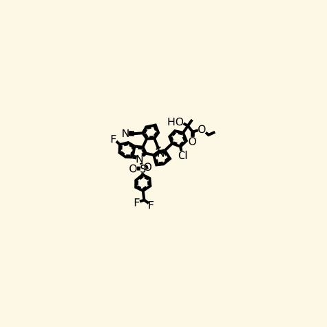 CCOC(=O)C(C)(O)c1ccc(-c2cccc(-c3c(-c4c(C#N)cccc4C#N)c4cc(F)ccc4n3S(=O)(=O)c3ccc(C(F)F)cc3)c2)c(Cl)c1